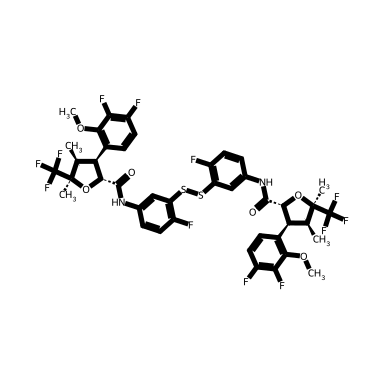 COc1c([C@H]2[C@H](C(=O)Nc3ccc(F)c(SSc4cc(NC(=O)[C@@H]5O[C@@](C)(C(F)(F)F)[C@@H](C)[C@H]5c5ccc(F)c(F)c5OC)ccc4F)c3)O[C@@](C)(C(F)(F)F)[C@H]2C)ccc(F)c1F